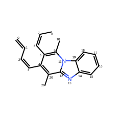 C=C/C=C\c1c(/C=C\C)c(C)n2c(nc3ccccc32)c1C